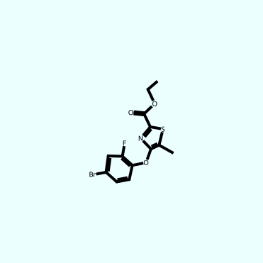 CCOC(=O)c1nc(Oc2ccc(Br)cc2F)c(C)s1